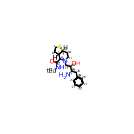 CC(C)(C)NC(=O)C1[C@H]2CCS[C@H]2CCN1C[C@@H](O)[C@@H](N)Cc1ccccc1